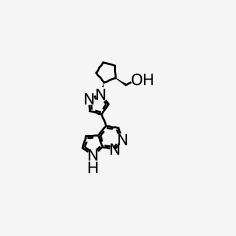 OC[C@@H]1CCC[C@H]1n1cc(-c2cnnc3[nH]ccc23)cn1